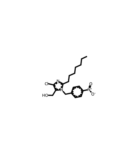 CCCCCCCc1nc(Cl)c(CO)n1Cc1ccc([N+](=O)[O-])cc1